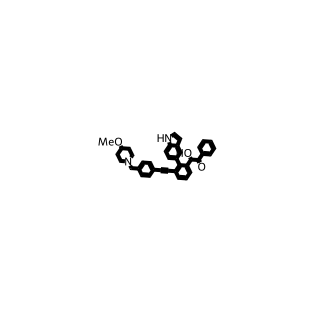 COC1CCN(Cc2ccc(C#Cc3cccc(C(O)C(=O)c4ccccc4)c3-c3ccc4[nH]ccc4c3)cc2)CC1